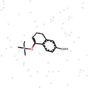 COc1ccc2c(c1)CCC=C2O[Si](C)(C)C